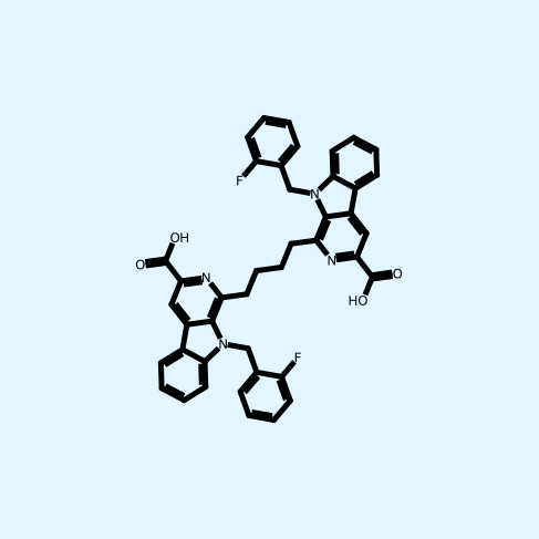 O=C(O)c1cc2c3ccccc3n(Cc3ccccc3F)c2c(CCCCc2nc(C(=O)O)cc3c4ccccc4n(Cc4ccccc4F)c23)n1